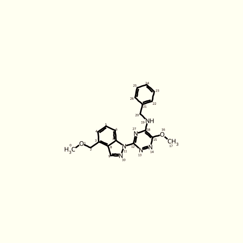 COCc1cccc2c1cnn2-c1nnc(OC)c(NCc2ccccc2)n1